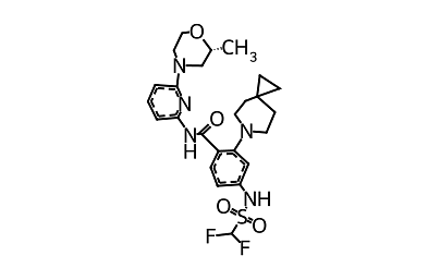 C[C@@H]1CN(c2cccc(NC(=O)c3ccc(NS(=O)(=O)C(F)F)cc3N3CCC4(CC3)CC4)n2)CCO1